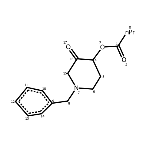 CCCC(=O)OC1CCN(Cc2ccccc2)CC1=O